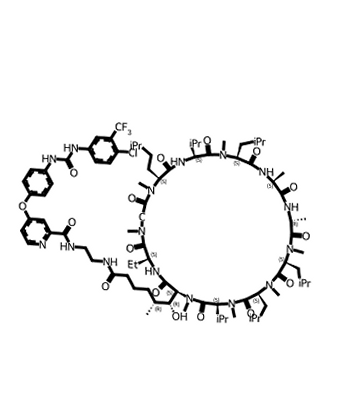 CC[C@@H]1NC(=O)[C@H]([C@H](O)[C@H](C)CCCC(=O)NCCNC(=O)c2cc(Oc3ccc(NC(=O)Nc4ccc(Cl)c(C(F)(F)F)c4)cc3)ccn2)N(C)C(=O)[C@H](C(C)C)N(C)C(=O)[C@H](CC(C)C)N(C)C(=O)[C@H](CC(C)C)N(C)C(=O)[C@@H](C)NC(=O)[C@H](C)NC(=O)[C@H](CC(C)C)N(C)C(=O)[C@H](C(C)C)NC(=O)[C@H](CCC(C)C)N(C)C(=O)CN(C)C1=O